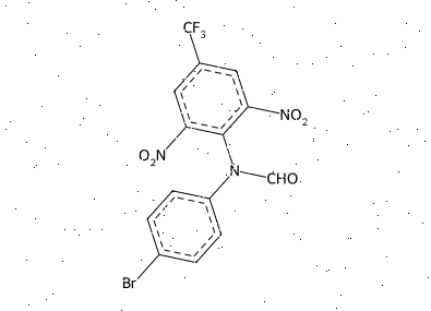 O=CN(c1ccc(Br)cc1)c1c([N+](=O)[O-])cc(C(F)(F)F)cc1[N+](=O)[O-]